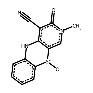 Cn1cc2c(c(C#N)c1=O)Nc1ccccc1[S+]2[O-]